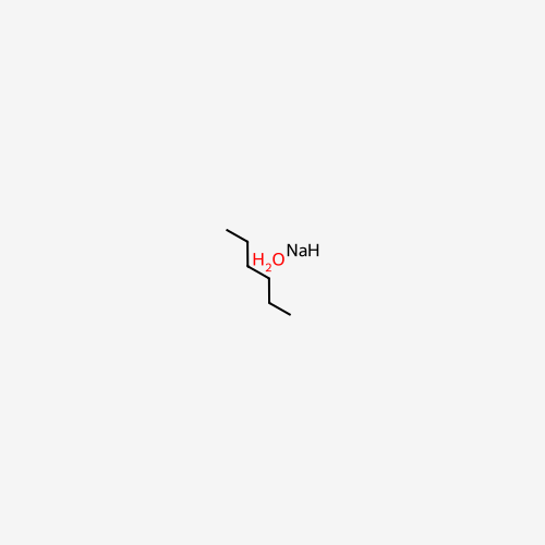 CCCCCC.O.[NaH]